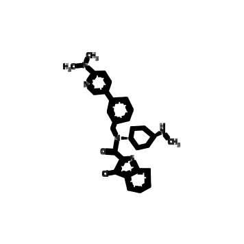 CN[C@H]1CC[C@H](N(Cc2cccc(-c3ccc(N(C)C)nc3)c2)C(=O)c2sc3ccccc3c2Cl)CC1